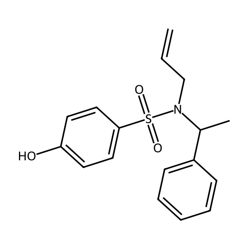 C=CCN(C(C)c1ccccc1)S(=O)(=O)c1ccc(O)cc1